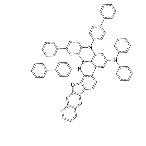 c1ccc(-c2ccc(N3B4c5cc(-c6ccccc6)ccc5N(c5ccc(-c6ccccc6)cc5)c5cc(N(c6ccccc6)c6ccccc6)cc(c54)-c4ccc5c(oc6cc7ccccc7cc65)c43)cc2)cc1